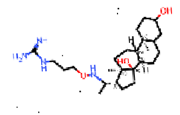 CC(NOCCCNC(=N)N)[C@H]1CC[C@@]2(O)[C@@H]3CCC4CC(O)CC[C@]4(C)[C@H]3CC[C@]12C